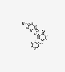 O=C1CCN(Cc2ccccc2)CC1COC1CC=C(Br)CC1